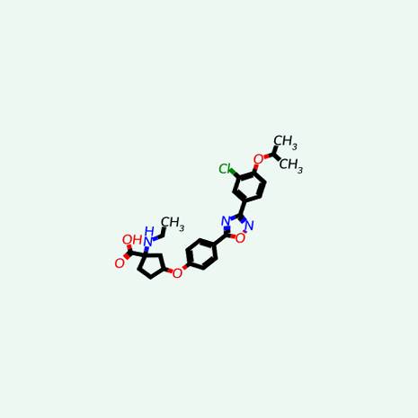 CCNC1(C(=O)O)CCC(Oc2ccc(-c3nc(-c4ccc(OC(C)C)c(Cl)c4)no3)cc2)C1